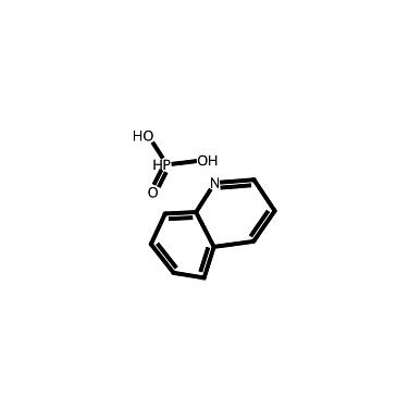 O=[PH](O)O.c1ccc2ncccc2c1